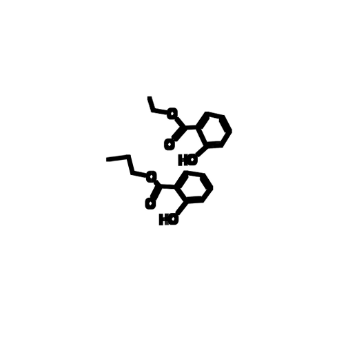 CCCOC(=O)c1ccccc1O.CCOC(=O)c1ccccc1O